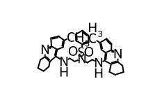 Cc1ccc2nc3c(c(NCCN(CCNc4c5c(nc6ccc(C)cc46)CCCC5)S(=O)(=O)c4ccccc4)c2c1)CCCC3